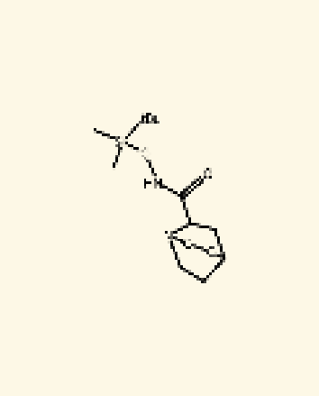 CC(C)(C)[Si](C)(C)ONC(=O)C1CC2CCN1CC2